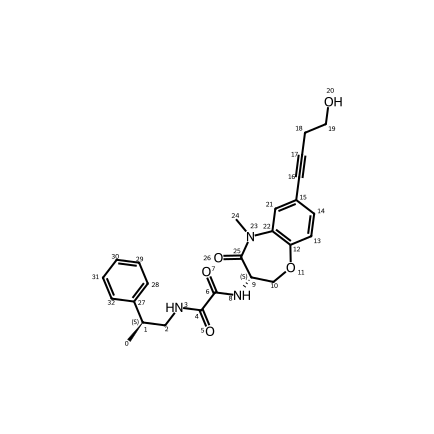 C[C@H](CNC(=O)C(=O)N[C@H]1COc2ccc(C#CCCO)cc2N(C)C1=O)c1ccccc1